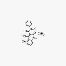 CCN(C(=O)c1c(O)c2c(Cl)cccc2n(C)c1=O)c1ccccc1.[CaH2]